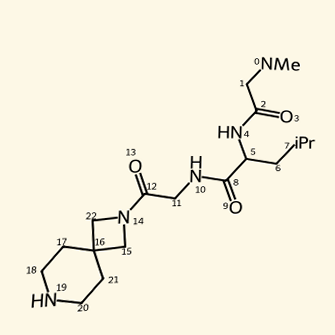 CNCC(=O)NC(CC(C)C)C(=O)NCC(=O)N1CC2(CCNCC2)C1